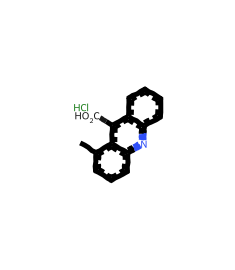 Cc1cccc2nc3ccccc3c(C(=O)O)c12.Cl